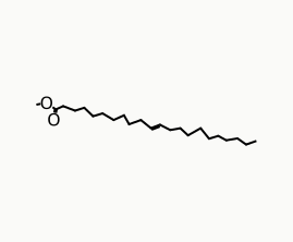 CCCCCCCCCCC=CCCCCCCCCCC(=O)OC